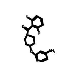 Nc1ccnc(OC2CCN(C(=O)c3c(F)cccc3F)CC2)c1